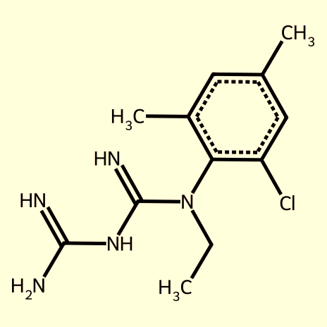 CCN(C(=N)NC(=N)N)c1c(C)cc(C)cc1Cl